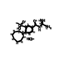 CS(=O)(=O)c1cc(C(=O)NC(=N)N)ccc1N1CCCCCCC1.Cl